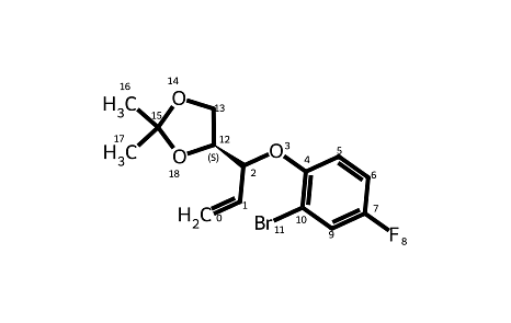 C=CC(Oc1ccc(F)cc1Br)[C@@H]1COC(C)(C)O1